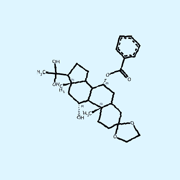 CC(O)(O)C1CCC2C3C([C@H](O)C[C@@]21C)[C@@]1(C)CCC2(CC1C[C@H]3OC(=O)c1ccccc1)OCCO2